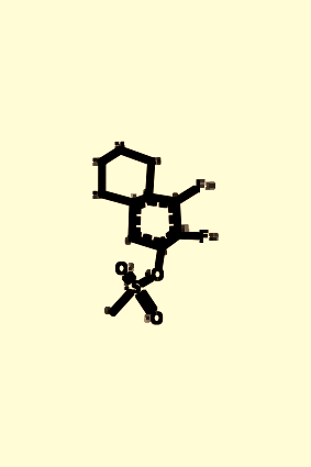 CS(=O)(=O)Oc1cc2c(c(F)c1F)CCCC2